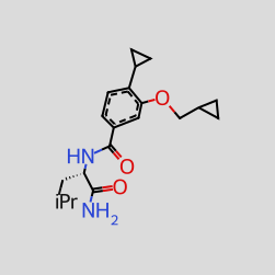 CC(C)C[C@H](NC(=O)c1ccc(C2CC2)c(OCC2CC2)c1)C(N)=O